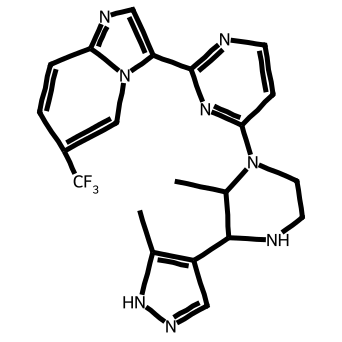 Cc1[nH]ncc1C1NCCN(c2ccnc(-c3cnc4ccc(C(F)(F)F)cn34)n2)C1C